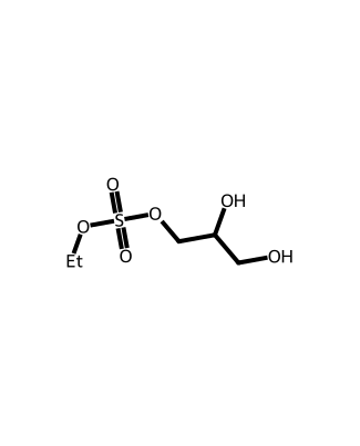 CCOS(=O)(=O)OCC(O)CO